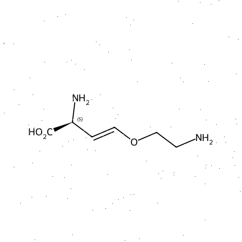 NCCOC=C[C@H](N)C(=O)O